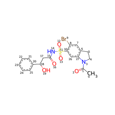 CC(=O)N1CCc2cc(Br)c(S(=O)(=O)NC(=O)CC(O)c3ccccc3)cc21